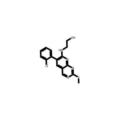 CSc1ncc2cc(-c3ccccc3Cl)c(NCCO)nc2n1